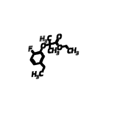 CCOC(=O)C(C)(C)Oc1cc(CC)ccc1F